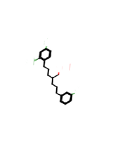 OCC(CCCc1cccc(Cl)c1)CCCc1ccc(Cl)cc1Cl